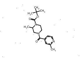 Cc1cc(C(=O)N2CCN(C(=O)OC(C)(C)C)C(C)C2)ccn1